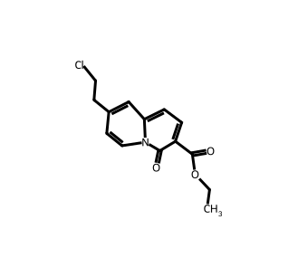 CCOC(=O)c1ccc2cc(CCCl)ccn2c1=O